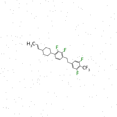 C/C=C/C1CCC(c2ccc(CCc3cc(F)c(C(F)(F)F)c(F)c3)c(F)c2F)CC1